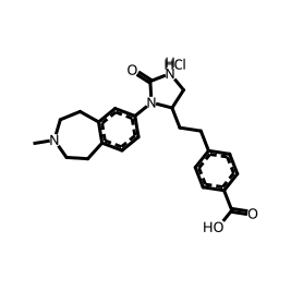 CN1CCc2ccc(N3C(=O)NCC3CCc3ccc(C(=O)O)cc3)cc2CC1.Cl